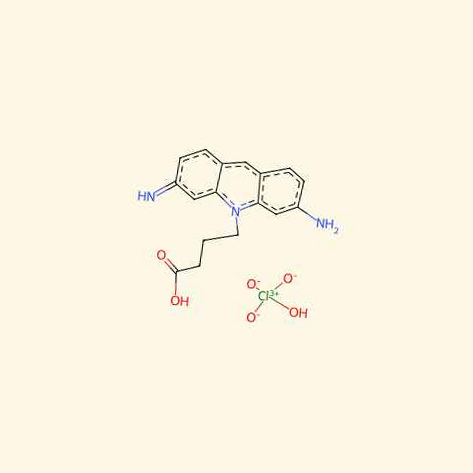 N=c1ccc2cc3ccc(N)cc3n(CCCC(=O)O)c-2c1.[O-][Cl+3]([O-])([O-])O